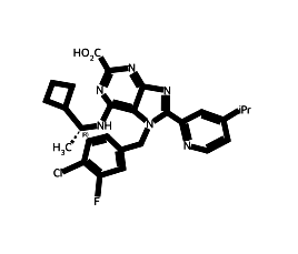 CC(C)c1ccnc(-c2nc3nc(C(=O)O)nc(N[C@H](C)C4CCC4)c3n2Cc2ccc(Cl)c(F)c2)c1